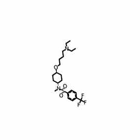 CCN(CC)CCCCO[C@H]1CC[C@H](N(C)S(=O)(=O)c2ccc(C(F)(F)F)cc2)CC1